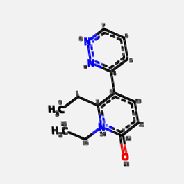 CCc1c(-c2cccnn2)ccc(=O)n1CC